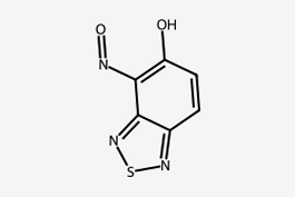 O=Nc1c(O)ccc2nsnc12